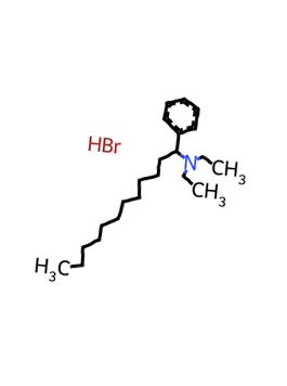 Br.CCCCCCCCCCCC(c1ccccc1)N(CC)CC